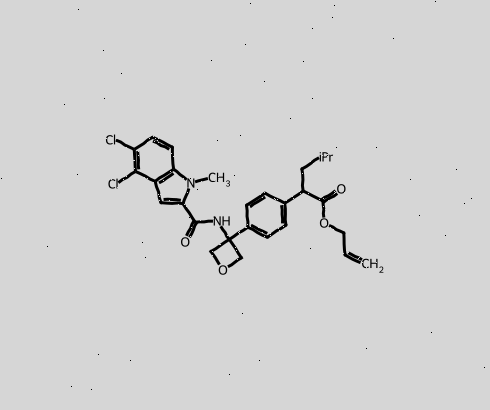 C=CCOC(=O)C(CC(C)C)c1ccc(C2(NC(=O)c3cc4c(Cl)c(Cl)ccc4n3C)COC2)cc1